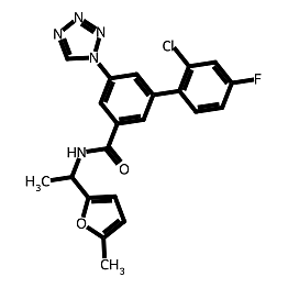 Cc1ccc(C(C)NC(=O)c2cc(-c3ccc(F)cc3Cl)cc(-n3cnnn3)c2)o1